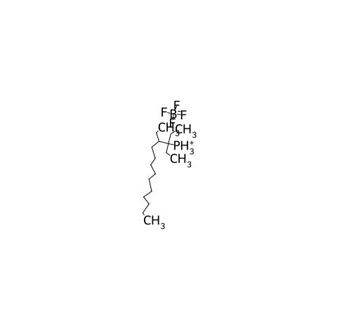 CCCCCCCCCCC(CC)C([PH3+])(CC)CC.F[B-](F)(F)F